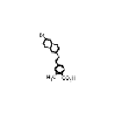 Cc1cc(C=Cc2ccc3cc(Br)ccc3c2)ccc1C(=O)O